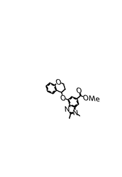 COC(=O)c1cc(OC2CCOc3ccccc32)c2nc(C)n(C)c2c1